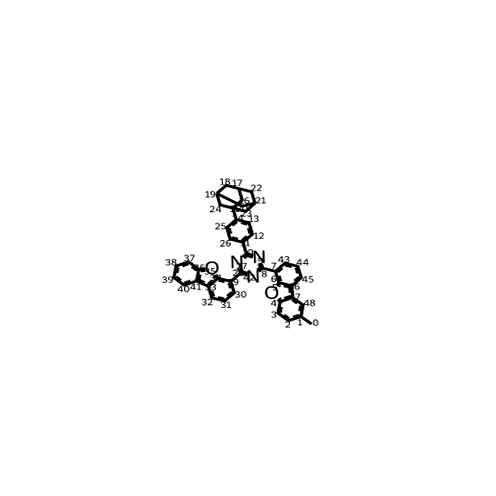 Cc1ccc2oc3c(-c4nc(-c5ccc(C67CC8CC(CC(C8)C6)C7)cc5)nc(-c5cccc6c5oc5ccccc56)n4)cccc3c2c1